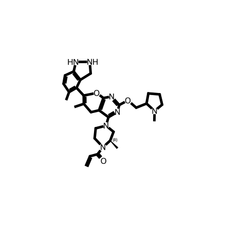 C=CC(=O)N1CCN(c2nc(OCC3CCCN3C)nc3c2CC(C)=C(c2c(C)ccc4c2CNN4)O3)C[C@H]1C